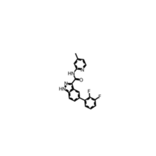 Cc1ccnc(NC(=O)c2n[nH]c3ccc(-c4cccc(F)c4F)cc23)c1